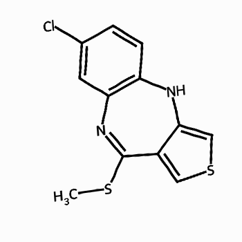 CSC1=Nc2cc(Cl)ccc2Nc2cscc21